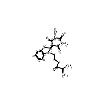 C=C(C)C(=O)CCCN1C(=C2C(=O)N(CC)C(=S)N(CC)C2=O)Sc2ccccc21